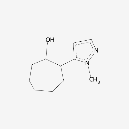 Cn1nccc1C1CCCCCC1O